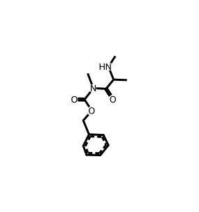 CNC(C)C(=O)N(C)C(=O)OCc1ccccc1